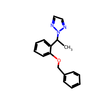 CC(c1ccccc1OCc1ccccc1)n1nccn1